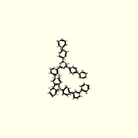 c1ccc(-c2ccc(-c3nc(-c4ccc(-c5ccccc5)cc4)nc(-c4cccc5c4oc4cc6c(cc45)c4ccccc4n6-c4ccc(-c5cccc(-c6ccccc6)c5)cc4)n3)cc2)cc1